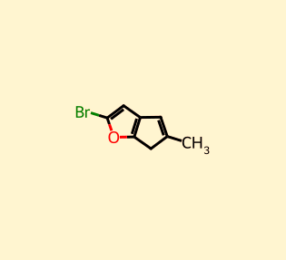 CC1=Cc2cc(Br)oc2C1